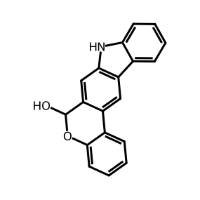 OC1Oc2ccccc2-c2cc3c(cc21)[nH]c1ccccc13